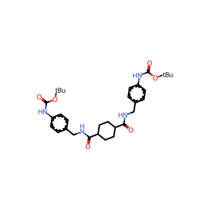 CC(C)(C)OC(=O)Nc1ccc(CNC(=O)C2CCC(C(=O)NCc3ccc(NC(=O)OC(C)(C)C)cc3)CC2)cc1